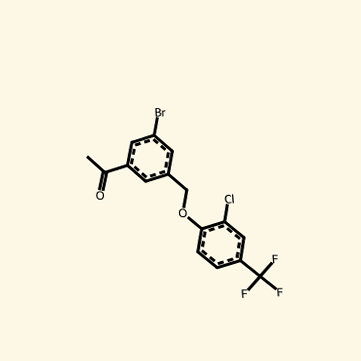 CC(=O)c1cc(Br)cc(COc2ccc(C(F)(F)F)cc2Cl)c1